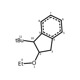 CCOC1Cc2ccccc2C1C(C)(C)C